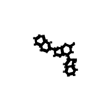 CN1Cc2cc(-c3cnc4ccccc4n3)ccc2C(c2cc3ccccc3[nH]2)C1